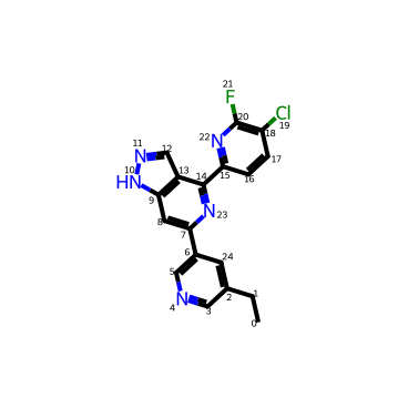 CCc1cncc(-c2cc3[nH]ncc3c(-c3ccc(Cl)c(F)n3)n2)c1